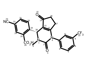 CN1C(=O)N(c2cccc(C(F)(F)F)c2)C2=C(C(=O)CC2)[C@H]1c1ccc(C#N)cc1C(=O)O